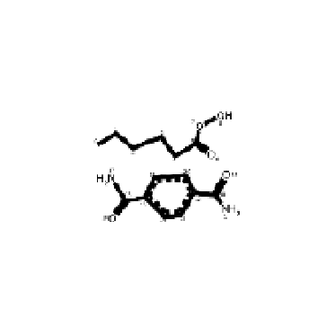 CCCCCC(=O)OO.NC(=O)c1ccc(C(N)=O)cc1